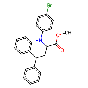 COC(=O)C(CC(c1ccccc1)c1ccccc1)Nc1ccc(Br)cc1